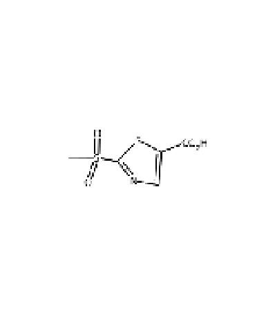 CS(=O)(=O)c1ncc(C(=O)O)s1